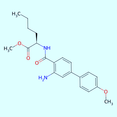 CCCC[C@@H](NC(=O)c1ccc(-c2ccc(OC)cc2)cc1N)C(=O)OC